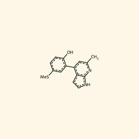 CSc1ccc(O)c(-c2cc(C)nc3[nH]ccc23)c1